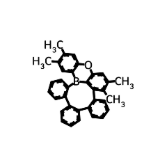 Cc1cc2c(cc1C)B1c3ccccc3-c3ccccc3-c3ccccc3-c3c(C)c(C)cc(c31)O2